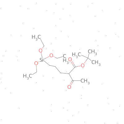 CCO[Si](CCCC(C(C)=O)C(=O)OC(C)(C)C)(OCC)OCC